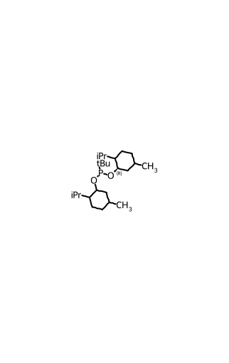 CC1CCC(C(C)C)C(OP(O[C@@H]2CC(C)CCC2C(C)C)C(C)(C)C)C1